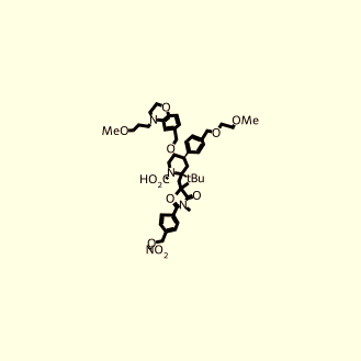 COCCCN1CCOc2ccc(CO[C@H]3CN(C(=O)O)[C@](CC(C)(C)C(=O)N(C)C(=O)c4ccc(CO[N+](=O)[O-])cc4)(C(C)(C)C)C[C@@H]3c3ccc(COCCOC)cc3)cc21